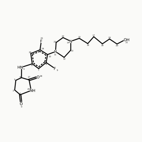 O=C1CCC(Nc2cc(F)c(N3CCN(CCCCCCO)CC3)c(F)c2)C(=O)N1